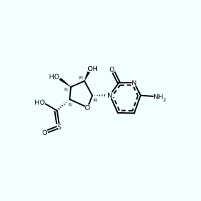 Nc1ccn([C@@H]2O[C@H](C(O)=S=O)[C@@H](O)[C@H]2O)c(=O)n1